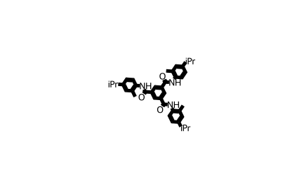 Cc1cc(C(C)C)ccc1NC(=O)c1cc(C(=O)Nc2ccc(C(C)C)cc2C)cc(C(=O)Nc2ccc(C(C)C)cc2C)c1